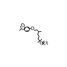 CCOC(C)(C)CCCC(C)CCOc1ccc2c(c1)OCC2C